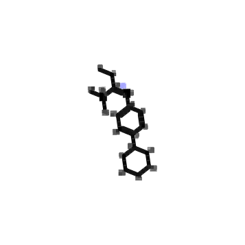 CC/C(=N/c1ccc(C2CCCCC2)cc1)N(C)C